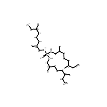 CC(C)CC(C)CCCC(C)COP(=O)(OCC(C)CCCC(C)CC(C)C)OCC(C)CCCC(C)CC(C)C